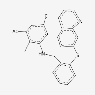 CC(=O)c1cc(Cl)cc(NCc2ccccc2Sc2ccc3cccnc3c2)c1C